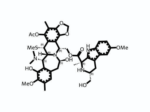 COc1ccc2[nH]c3c(c2c1)C[C@H](CO)N[C@@]3(C)C(=O)OC[C@H]1c2c3c(c(C)c(OC(C)=O)c2[C@@H](SC)[C@H]2[C@@H](N(C)C)c4c(cc(C)c(OC)c4O)C[C@H](O)N21)OCO3